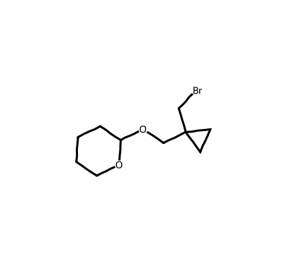 BrCC1(COC2CCCCO2)CC1